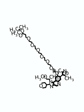 COCC(C)n1c(C2CCOCC2)nc2cnc3cc(-c4c(C)noc4C)c(OCCOCCOCCOCCOCCOCCOCCC(=O)OC(C)(C)C)cc3c21